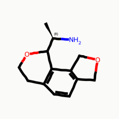 C[C@@H](N)C1OCCc2ccc3c(c21)COC3